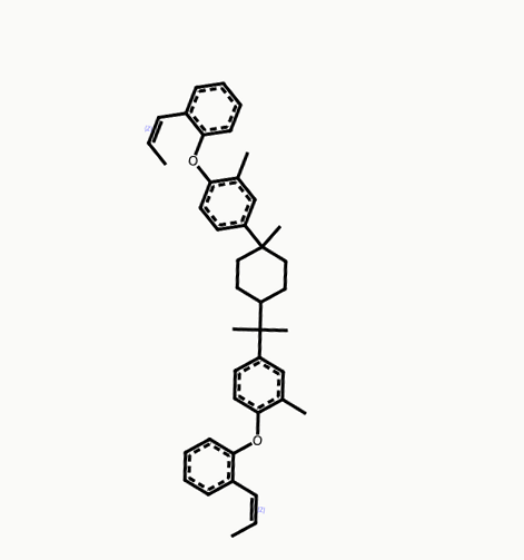 C/C=C\c1ccccc1Oc1ccc(C2(C)CCC(C(C)(C)c3ccc(Oc4ccccc4/C=C\C)c(C)c3)CC2)cc1C